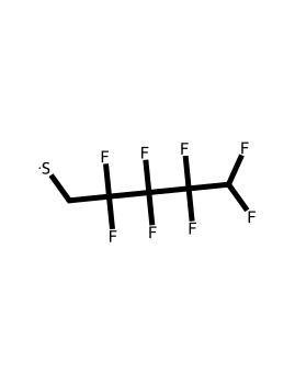 FC(F)C(F)(F)C(F)(F)C(F)(F)C[S]